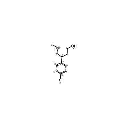 CNCC(CCO)c1ccc(Cl)cc1